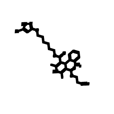 CCc1cc(OCCCCCCOC(=O)C2=C(C)NC(C)=C(C(=O)OCCOC)C2c2ccccc2[N+](=O)[O-])n[nH]1